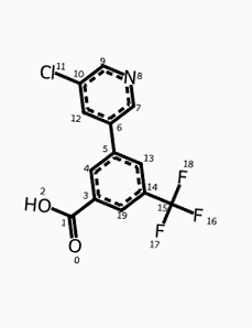 O=C(O)c1cc(-c2cncc(Cl)c2)cc(C(F)(F)F)c1